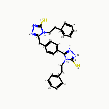 Sc1nnc(Cc2ccc(-c3nnc(S)n3CCc3ccccc3)cc2)n1CCc1ccccc1